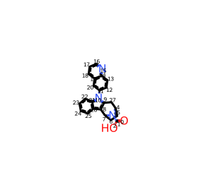 O=C(O)N1C2CCC1c1c(n(-c3ccc4ncccc4c3)c3ccccc13)C2